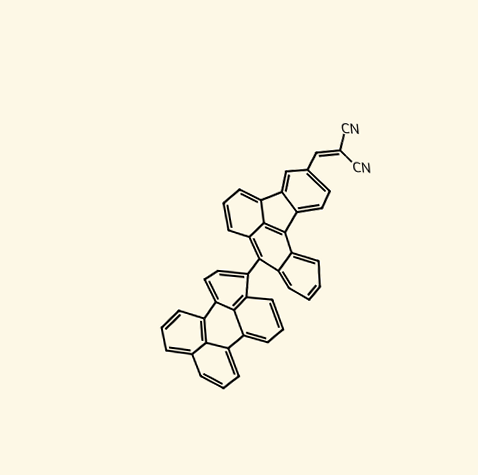 N#CC(C#N)=Cc1ccc2c(c1)-c1cccc3c(-c4ccc5c6cccc7cccc(c8cccc4c85)c76)c4ccccc4c-2c13